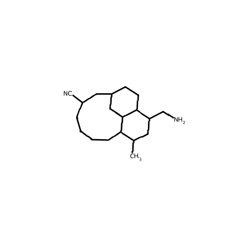 CC1CC(CN)C2CCC3CC(C#N)CCCCC1C2C3